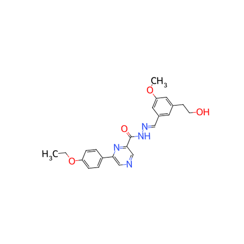 CCOc1ccc(-c2cncc(C(=O)NN=Cc3cc(CCO)cc(OC)c3)n2)cc1